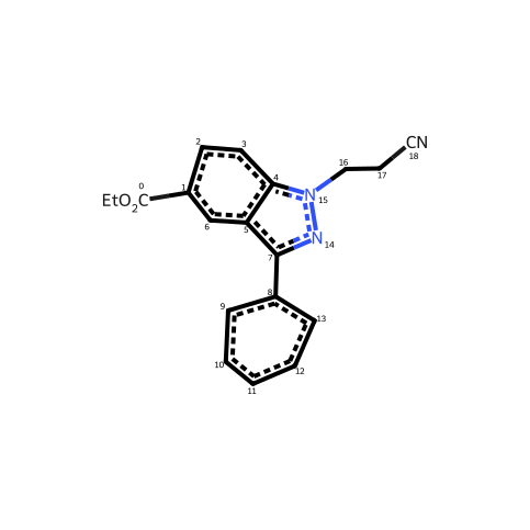 CCOC(=O)c1ccc2c(c1)c(-c1ccccc1)nn2CCC#N